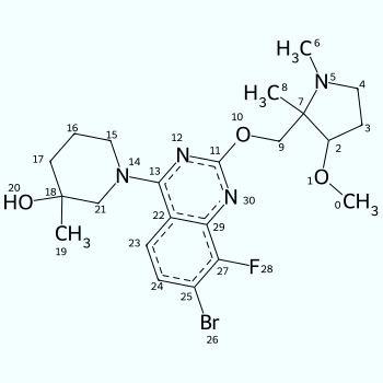 COC1CCN(C)C1(C)COc1nc(N2CCCC(C)(O)C2)c2ccc(Br)c(F)c2n1